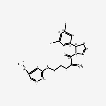 C=C(CCCOc1cc(OC)cnn1)C(=O)N1N=CCC1c1cc(F)cc(F)c1